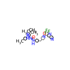 Cc1ccc(-n2nc(C(C)(C)C)cc2NC(=O)Nc2ccc(CC3CCN(C(=O)c4cc5cnccc5nc4C(F)(F)F)CC3)cc2)cc1